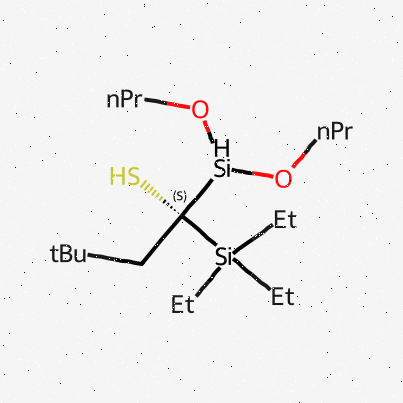 CCCO[SiH](OCCC)[C@](S)(CC(C)(C)C)[Si](CC)(CC)CC